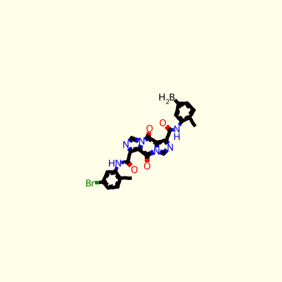 Bc1ccc(C)c(NC(=O)c2ncn3c(=O)c4c(C(=O)Nc5cc(Br)ccc5C)ncn4c(=O)c23)c1